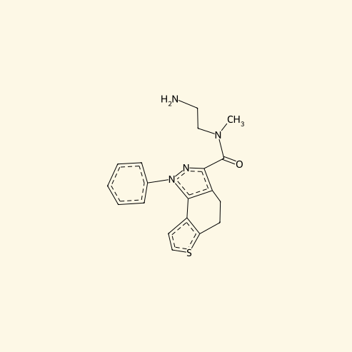 CN(CCN)C(=O)c1nn(-c2ccccc2)c2c1CCc1sccc1-2